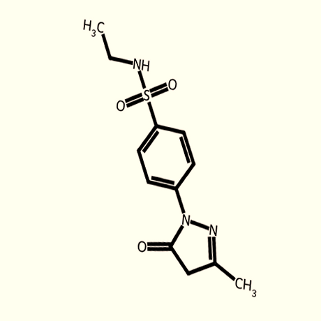 CCNS(=O)(=O)c1ccc(N2N=C(C)CC2=O)cc1